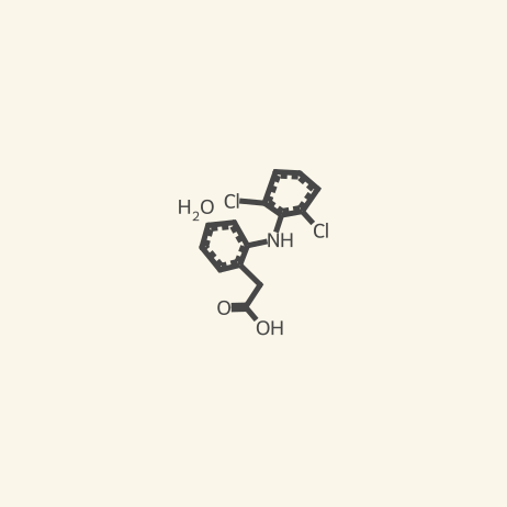 O.O=C(O)Cc1ccccc1Nc1c(Cl)cccc1Cl